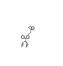 O=C(OCCC1CCO1)C(=CF)CF